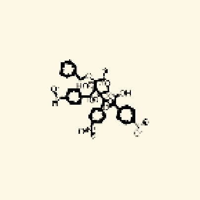 O=C(c1ccc([N+](=O)[O-])cc1)C(O)[C@H]1O[C@@H](Br)[C@H](OCc2ccccc2)[C@](O)(C(=O)c2ccc([N+](=O)[O-])cc2)[C@@]1(O)C(=O)c1ccc([N+](=O)[O-])cc1